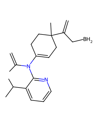 BCC(=C)C1(C)CC=C(N(C(=C)C)c2ncccc2C(C)C)CC1